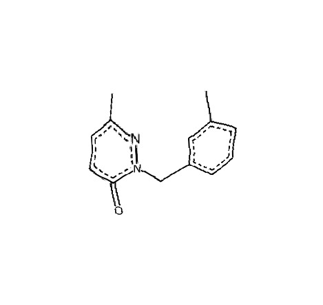 Cc1cccc(Cn2nc(C)ccc2=O)c1